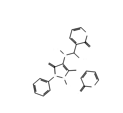 Cc1c(N(C)C(c2cccoc2=O)S(=O)(=O)O)c(=O)n(-c2ccccc2)n1C.O=c1cccco1